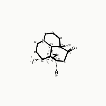 C[C@@H]1C[C@H]2CC(=O)[C@H]3CCCN4CCC[C@H]2[C@]34C1